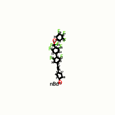 CCCCOc1ccc(C#Cc2cc(F)c(-c3cc(F)c(C(F)(F)Oc4cc(F)c(F)c(F)c4)c(F)c3)c(F)c2)cc1